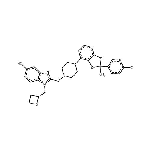 CC1(c2ccc(Cl)nc2)Oc2cccc(C3CCN(Cc4nc5cc(C#N)ncc5n4C[C@@H]4CCO4)CC3)c2O1